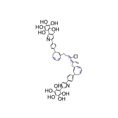 C=C/C(=C\C(Cl)=C/CCC1=CC(c2ccc(-c3cc(C)c(-c4c(O)c(O)c(O)c(O)c4O)cn3)cc2)C/C=C\C=C/1)CC1=CC(c2ccc(-c3cc(C)c(-c4c(O)c(O)c(O)c(O)c4O)cn3)cc2)C/C=C\C=C/1